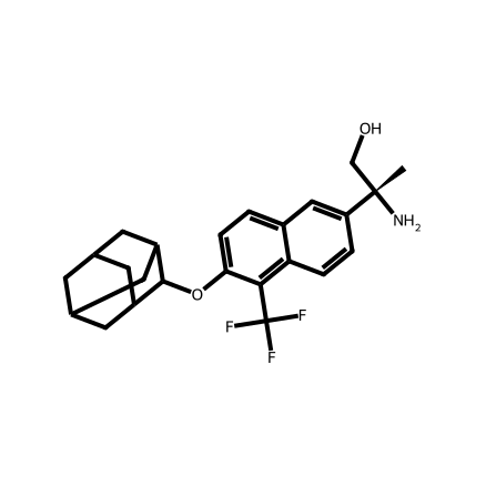 C[C@](N)(CO)c1ccc2c(C(F)(F)F)c(OC3C4CC5CC(C4)CC3C5)ccc2c1